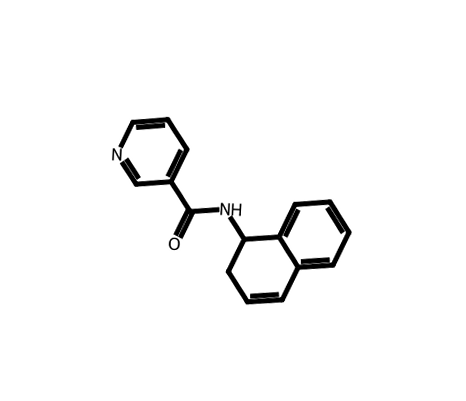 O=C(NC1CC=Cc2ccccc21)c1cccnc1